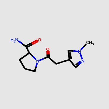 Cn1cc(CC(=O)N2CCCC2C(N)=O)cn1